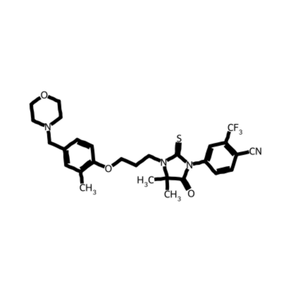 Cc1cc(CN2CCOCC2)ccc1OCCCN1C(=S)N(c2ccc(C#N)c(C(F)(F)F)c2)C(=O)C1(C)C